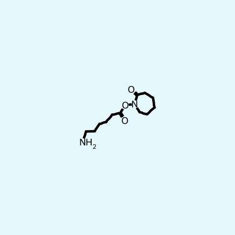 NCCCCCC(=O)ON1CCCCCC1=O